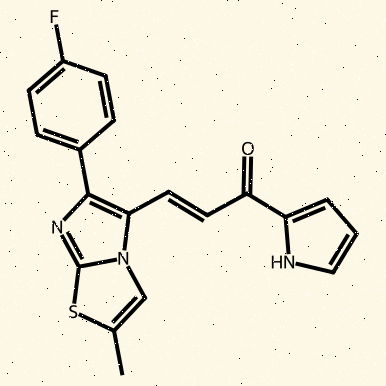 Cc1cn2c(C=CC(=O)c3ccc[nH]3)c(-c3ccc(F)cc3)nc2s1